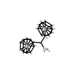 CC([C]12[CH]3[CH]4[CH]5[CH]1[Fe]45321678[CH]2[CH]1[CH]6[CH]7[CH]28)[C]12[CH]3[CH]4[CH]5[CH]1[Fe]45321678[CH]2[CH]1[CH]6[CH]7[CH]28